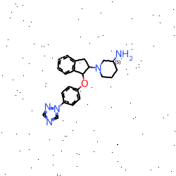 N[C@H]1CCCN(C2Cc3ccccc3C2Oc2ccc(-n3cncn3)cc2)C1